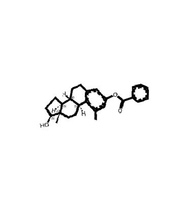 Cc1cc(OC(=O)c2ccccc2)cc2c1[C@H]1CC[C@]3(C)[C@@H](O)CC[C@H]3[C@@H]1CC2